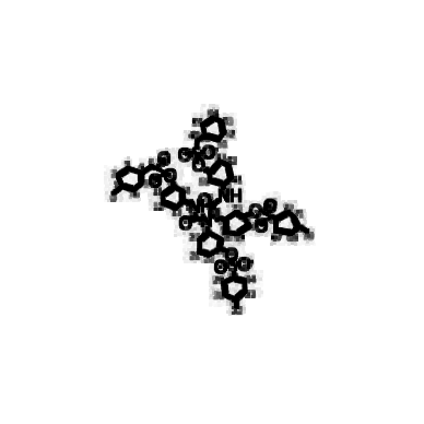 Cc1ccc(CS(=O)(=O)Oc2cccc(NC(=O)N(c3cccc(OS(=O)(=O)c4ccc(C)cc4)c3)N(C(=O)Nc3cccc(OS(=O)(=O)Cc4ccccc4)c3)c3cccc(OS(=O)(=O)c4ccc(C)cc4)c3)c2)cc1